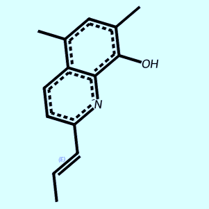 C/C=C/c1ccc2c(C)cc(C)c(O)c2n1